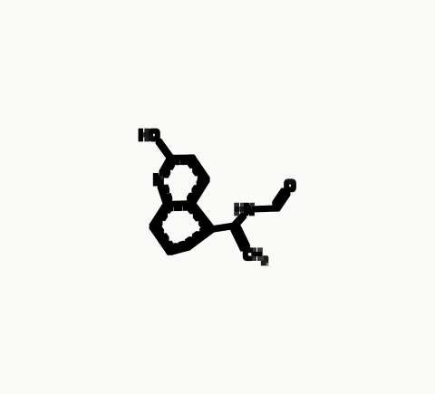 C=C(NC=O)c1cccc2nc(O)ccc12